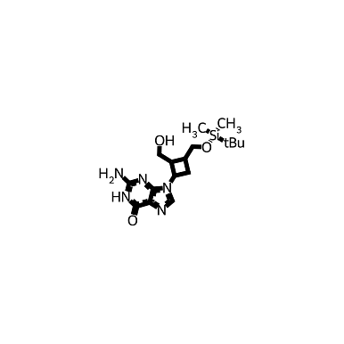 CC(C)(C)[Si](C)(C)OCC1CC(n2cnc3c(=O)[nH]c(N)nc32)C1CO